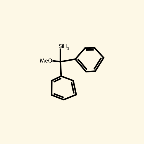 COC([SiH3])(c1ccccc1)c1ccccc1